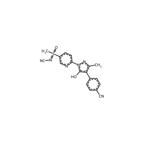 Cc1nn(-c2ccc(S(C)(=O)=NC#N)cn2)c(O)c1-c1ccc(C#N)cc1